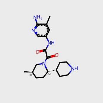 Cc1cc(NC(=O)C(=O)N2C[C@H](C)CC[C@H]2C2CCNCC2)cnc1N